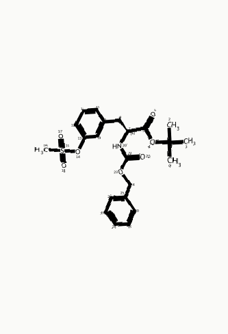 CC(C)(C)OC(=O)[C@H](Cc1cccc(OS(C)(=O)=O)c1)NC(=O)OCc1ccccc1